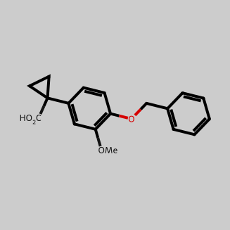 COc1cc(C2(C(=O)O)CC2)ccc1OCc1ccccc1